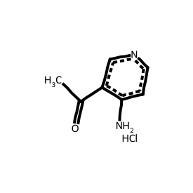 CC(=O)c1cnccc1N.Cl